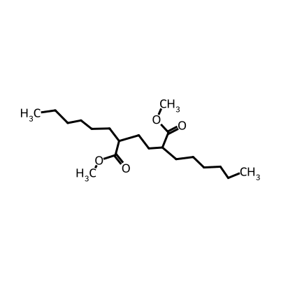 CCCCCCC(CCC(CCCCCC)C(=O)OC)C(=O)OC